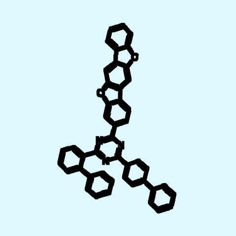 c1ccc(-c2ccc(-c3nc(-c4ccc5c(c4)oc4cc6c(cc45)oc4ccccc46)nc(-c4ccccc4-c4ccccc4)n3)cc2)cc1